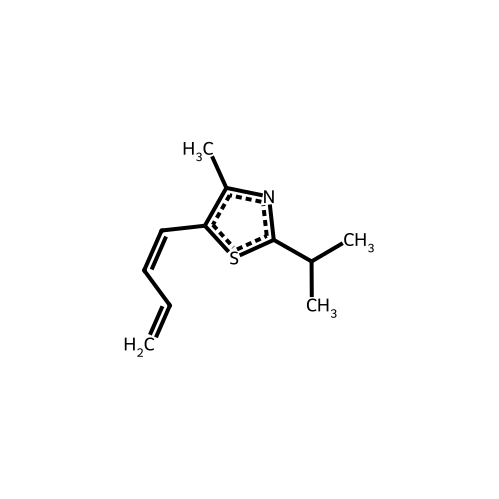 C=C/C=C\c1sc(C(C)C)nc1C